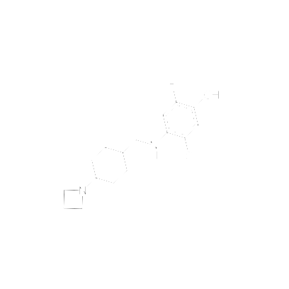 Cc1cc(Cl)c(NCC2CCC(N3CCC3)CC2)cc1F